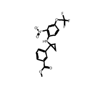 COC(=O)c1cccc(C2(Nc3ccc(OC(F)(F)F)cc3[N+](=O)[O-])CC2)c1